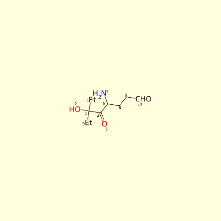 CCC(O)(CC)C(=O)C(N)CCC=O